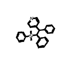 C[Si](C)(c1ccccc1)C(c1ccccc1)C(c1ccccc1)c1ccncc1